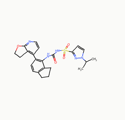 CC(C)n1ccc(S(=O)(=O)NC(=O)Nc2c(-c3ccnc4c3CCO4)ccc3c2CCC3)n1